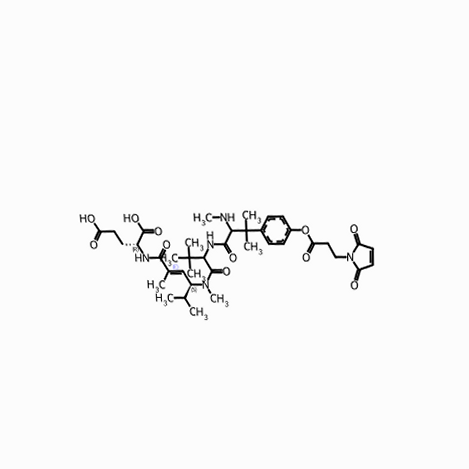 CNC(C(=O)NC(C(=O)N(C)[C@H](/C=C(\C)C(=O)N[C@H](CCC(=O)O)C(=O)O)C(C)C)C(C)(C)C)C(C)(C)c1ccc(OC(=O)CCN2C(=O)C=CC2=O)cc1